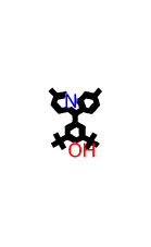 Cc1ccc2c(-c3cc(C(C)(C)C)c(O)c(C(C)(C)C)c3)c3ccc(C)cn3c2c1